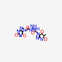 CC1C(=O)c2c(ncn2CC(=O)NC(=N)NC(=O)Cn2cnc3c2c(=O)n(C)c(=O)n3C)N(C)C1=O